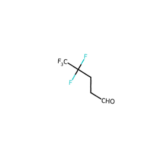 O=CCCC(F)(F)C(F)(F)F